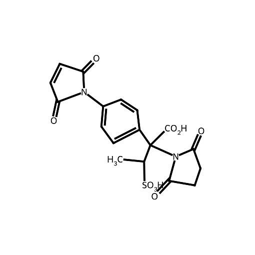 CC(C(C(=O)O)(c1ccc(N2C(=O)C=CC2=O)cc1)N1C(=O)CCC1=O)S(=O)(=O)O